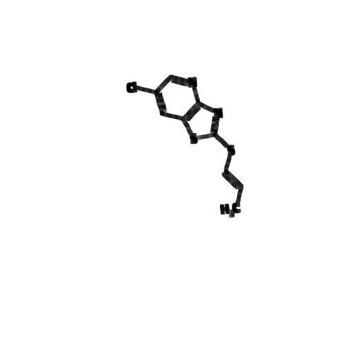 CC=CSc1nc2ncc(Cl)cc2s1